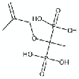 C=C(C)COC(C)(P(=O)(O)O)P(=O)(O)O